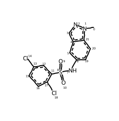 Cn1ncc2cc(NS(=O)(=O)c3cc(Cl)ccc3Cl)ccc21